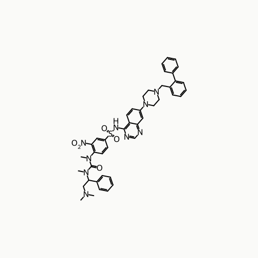 CN(C)CC(c1ccccc1)N(C)C(=O)N(C)c1ccc(S(=O)(=O)Nc2ncnc3cc(N4CCN(Cc5ccccc5-c5ccccc5)CC4)ccc23)cc1[N+](=O)[O-]